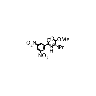 COC(=O)[C@H](NC(=O)c1cc([N+](=O)[O-])cc([N+](=O)[O-])c1)C(C)C